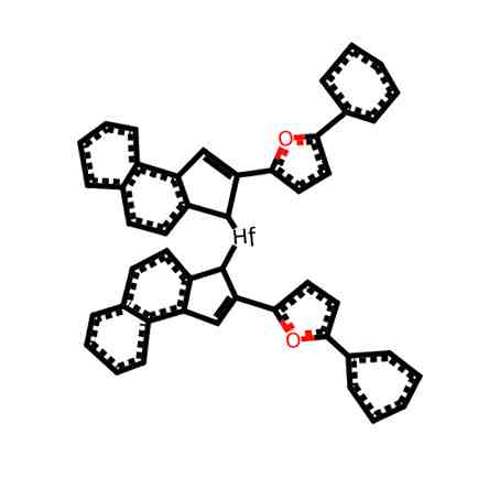 C1=C(c2ccc(-c3ccccc3)o2)[CH]([Hf][CH]2C(c3ccc(-c4ccccc4)o3)=Cc3c2ccc2ccccc32)c2ccc3ccccc3c21